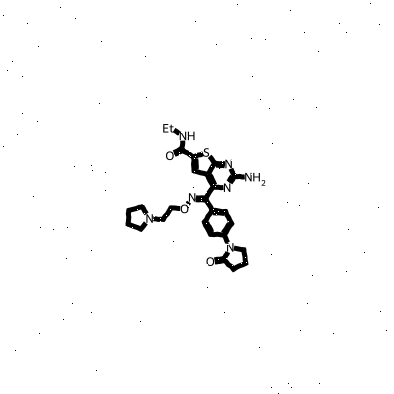 CCNC(=O)c1cc2c(C(=NOCCN3CCCC3)c3ccc(N4CCCC4=O)cc3)nc(N)nc2s1